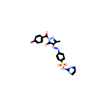 CC1=NN(C(=O)c2ccc(I)cc2)C(=O)C1/N=N/c1ccc(S(=O)(=O)Nc2ncccn2)cc1